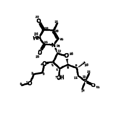 COCCO[C@@H]1[C@H](O)[C@@H]([C@H](C)CP(C)(C)=O)O[C@H]1n1cc(C)c(=O)[nH]c1=O